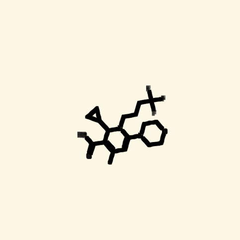 CC1=C(C(=O)O)C(C2CC2)N(CCCC(F)(F)F)C(N2CCOCC2)=C1